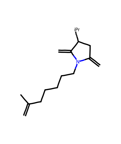 C=C(C)CCCCCN1C(=C)CC(C(C)C)C1=C